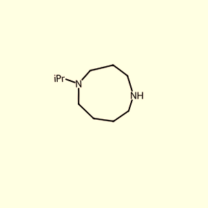 CC(C)N1CCCCNCCC1